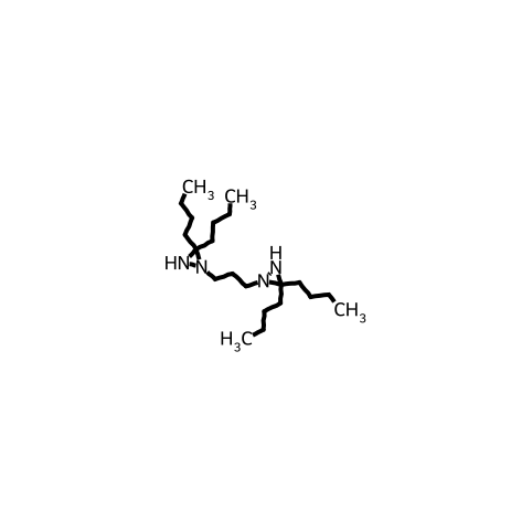 CCCCC1(CCCC)NN1CCCN1NC1(CCCC)CCCC